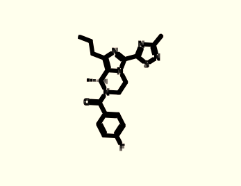 CCCc1nc(-c2nc(C)ns2)n2c1[C@@H](C)N(C(=O)c1ccc(F)cc1)CC2